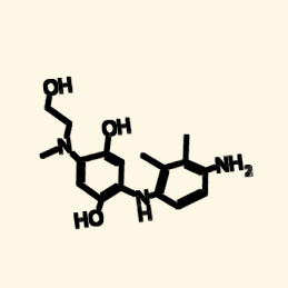 Cc1c(N)ccc(Nc2cc(O)c(N(C)CCO)cc2O)c1C